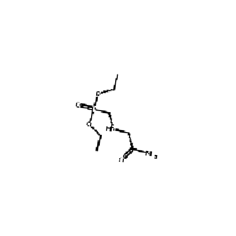 CCOP(=O)(CNCC(N)=O)OCC